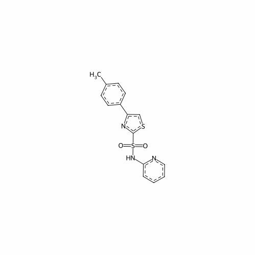 Cc1ccc(-c2csc(S(=O)(=O)Nc3ccccn3)n2)cc1